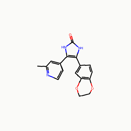 Cc1cc(-c2[nH]c(=O)[nH]c2-c2ccc3c(c2)OCCO3)ccn1